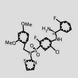 COc1ccc(CN(c2nccs2)S(=O)(=O)c2cc(Cl)c(N[C@@H](N)c3ccccc3F)cc2F)c(OC)c1